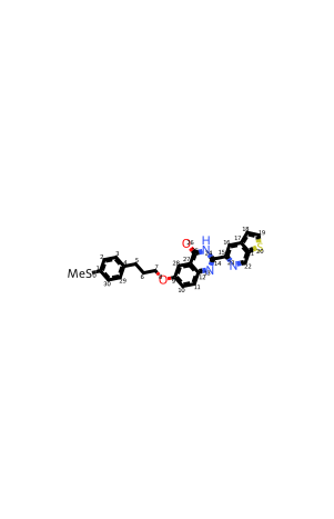 CSc1ccc(CCCOc2ccc3nc(-c4cc5ccsc5cn4)[nH]c(=O)c3c2)cc1